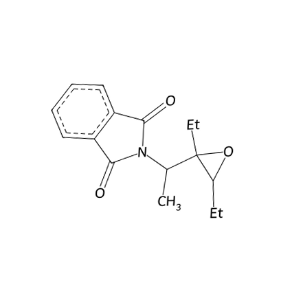 CCC1OC1(CC)C(C)N1C(=O)c2ccccc2C1=O